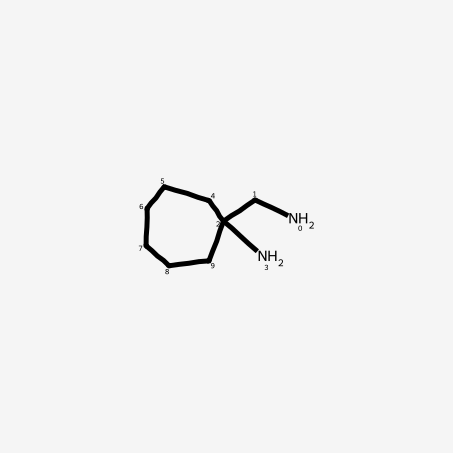 NCC1(N)CCCCCC1